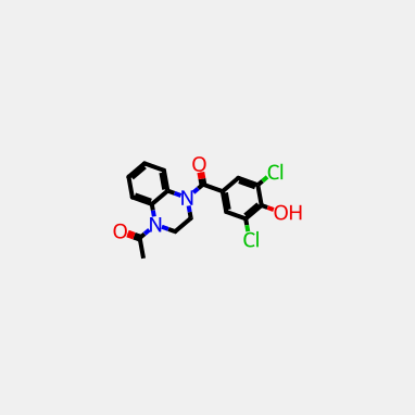 CC(=O)N1CCN(C(=O)c2cc(Cl)c(O)c(Cl)c2)c2ccccc21